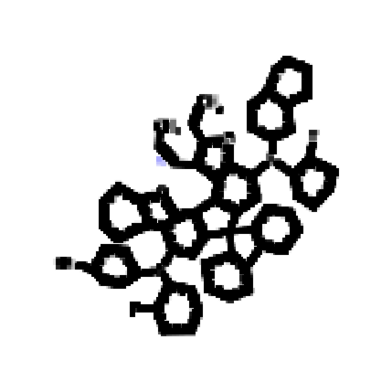 C=Cc1oc2c(N(c3ccc4ccccc4c3)c3ccccc3F)cc3c(c2c1/C=C\C)-c1c(cc(N(c2ccc(C(C)(C)C)cc2)c2ccccc2F)c2c1oc1ccccc12)C31c2ccccc2-c2ccccc21